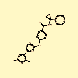 Cc1nc(C)c(-c2csc(Nc3ccc(C(=O)NC4(c5ccccc5)CC4)cn3)n2)s1